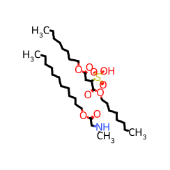 CCCCCCCCCCCCOC(=O)CNC.CCCCCCCCOC(=O)CC(C(=O)OCCCCCCCC)S(=O)(=O)O